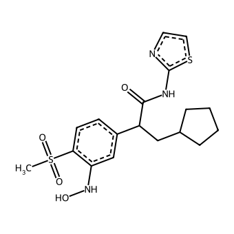 CS(=O)(=O)c1ccc(C(CC2CCCC2)C(=O)Nc2nccs2)cc1NO